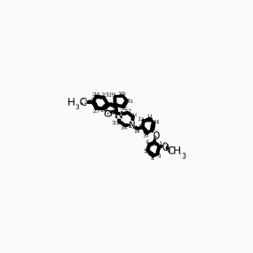 COc1ccccc1Oc1cccc(CN2CCN(C(=O)C3(c4ccc(C)cc4)CCCC3)CC2)c1